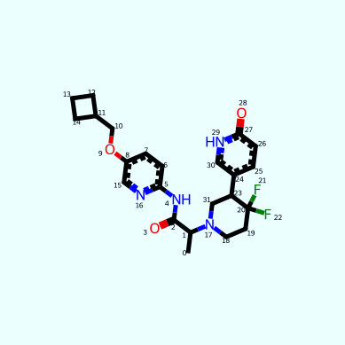 CC(C(=O)Nc1ccc(OCC2CCC2)cn1)N1CCC(F)(F)C(c2ccc(=O)[nH]c2)C1